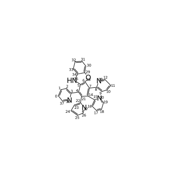 c1ccc(-c2c3c(c(-c4ccccn4)c(-c4ccccn4)c2-c2ccccn2)Oc2ccccc2N3)nc1